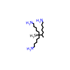 CC(CCCCCN)C([SiH3])(CCCCCN)CCCCCN